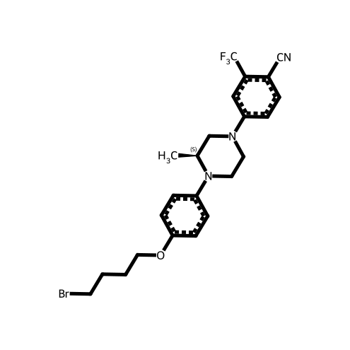 C[C@H]1CN(c2ccc(C#N)c(C(F)(F)F)c2)CCN1c1ccc(OCCCCBr)cc1